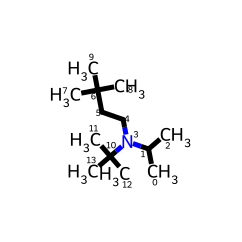 CC(C)N(CCC(C)(C)C)C(C)(C)C